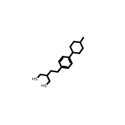 CC1CCC(c2ccc(CCC(CS)CS)cc2)CC1